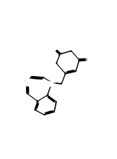 O=C1C=C(CN2C=CN=Cc3ccccc32)CC(=O)C1